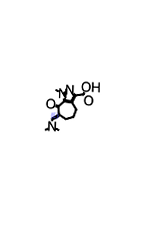 CN(C)/C=C1\CCCc2c(C(=O)O)nn(C)c2C1=O